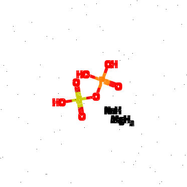 O=P(O)(O)OS(=O)(=O)O.[MgH2].[NaH]